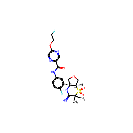 CC1(C)C(=N)N[C@@]2(c3cc(NC(=O)c4cnc(OCCF)cn4)ccc3F)COC[C@H]2S1(=O)=O